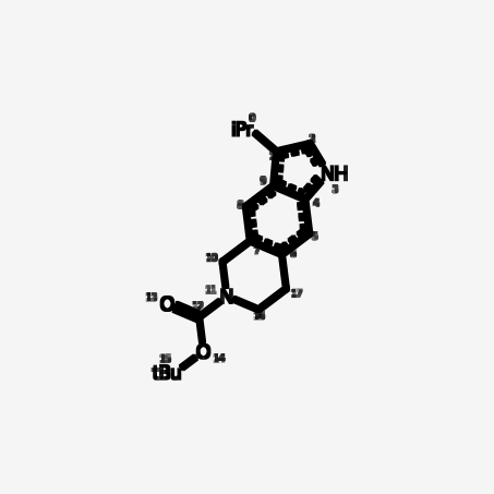 CC(C)c1c[nH]c2cc3c(cc12)CN(C(=O)OC(C)(C)C)CC3